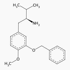 COc1ccc(C[C@H](N)C(C)C)cc1OCc1ccccc1